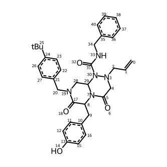 C=CCN1CC(=O)N2C(Cc3ccc(O)cc3)C(=O)N(Cc3ccc(C(C)(C)C)cc3)CC2N1C(=O)NCc1ccccc1